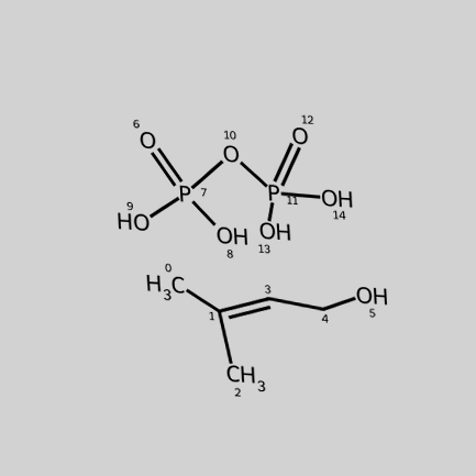 CC(C)=CCO.O=P(O)(O)OP(=O)(O)O